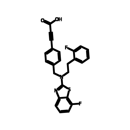 O=C(O)C#Cc1ccc(CN(CCc2ccccc2F)c2nc3cccc(F)c3s2)cc1